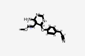 CO/N=C/c1c(N)ncnc1Oc1ccc(CC#N)cc1